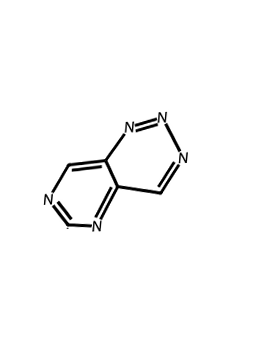 [c]1ncc2nnncc2n1